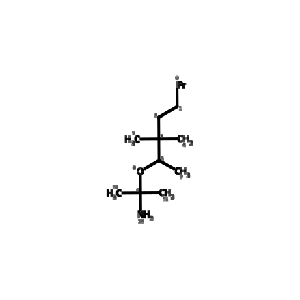 CC(C)CCC(C)(C)C(C)OC(C)(C)N